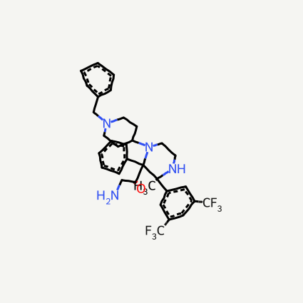 CC1(c2cc(C(F)(F)F)cc(C(F)(F)F)c2)NCCN(C2CCN(Cc3ccccc3)CC2)C1(C(=O)CN)c1ccccc1